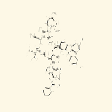 COc1ccc(C(OC[C@H]2O[C@@H](n3cnc4c(NC(=O)c5ccccc5)ncnc43)[C@H](OC)[C@@H]2CC(=O)NC[C@@H]2O[C@@H](n3ccc(=O)[nH]c3=O)[C@H](F)[C@@H]2C(C#N)COP(O)N(C(C)C)C(C)C)(c2ccccc2)c2ccc(OC)cc2)cc1